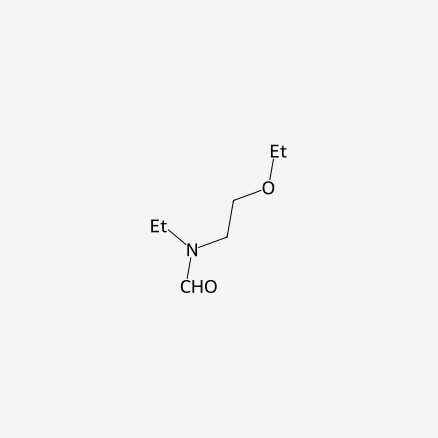 CCOCCN(C=O)CC